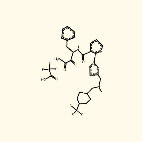 CN(Cc1ccn(-c2ncccc2C(=O)NC(Cc2ccccc2)C(=O)C(N)=O)n1)CC1CCC(C(F)(F)F)CC1.O=C(O)C(F)(F)F